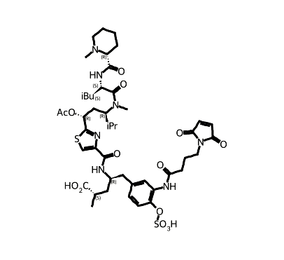 CC[C@H](C)[C@H](NC(=O)[C@H]1CCCCN1C)C(=O)N(C)[C@H](C[C@@H](OC(C)=O)c1nc(C(=O)N[C@@H](Cc2ccc(OS(=O)(=O)O)c(NC(=O)CCCN3C(=O)C=CC3=O)c2)C[C@H](C)C(=O)O)cs1)C(C)C